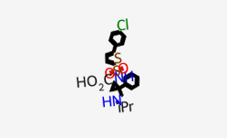 CC(C)NCC1(c2ccccc2)CC1(NS(=O)(=O)c1ccc(-c2ccc(Cl)cc2)s1)C(=O)O